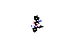 CCCCc1ccccc1NC(=O)C(=O)c1c[nH]c2ccccc12